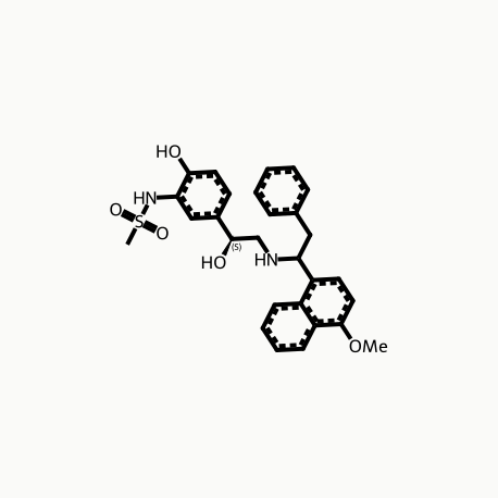 COc1ccc(C(Cc2ccccc2)NC[C@@H](O)c2ccc(O)c(NS(C)(=O)=O)c2)c2ccccc12